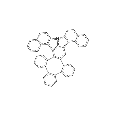 c1ccc2c(c1)-c1ccccc1-c1cc3c4c5ccccc5ccc4n4c5ccc6ccccc6c5c(c1-c1ccccc1-2)c34